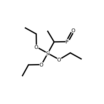 CCO[Si](OCC)(OCC)C(C)P=O